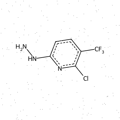 NNc1ccc(C(F)(F)F)c(Cl)n1